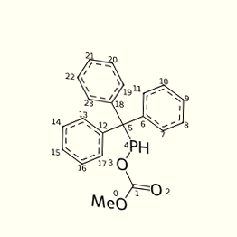 COC(=O)OPC(c1ccccc1)(c1ccccc1)c1ccccc1